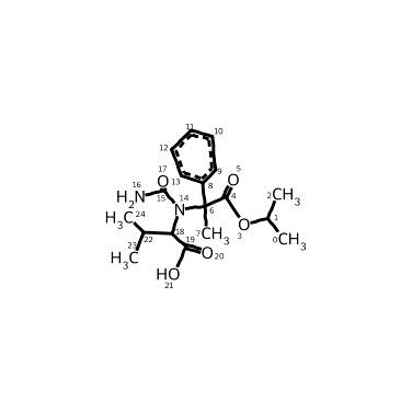 CC(C)OC(=O)C(C)(c1ccccc1)N(C(N)=O)C(C(=O)O)C(C)C